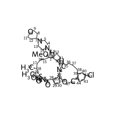 CO[C@@]1(CN2CCN(C3CCOCC3)CC2)/C=C/C[C@H](C)[C@@H](C)S(=O)(=O)NC(=O)c2ccc3c(c2)N(CCCCc2cc(Cl)ccc2CCO3)C[C@@H]2CC[C@H]21